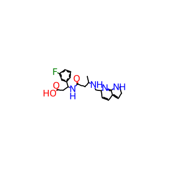 CC(CC(=O)NC(CC(=O)O)c1cccc(F)c1)NCC1C=CC2=CCCNC2=N1